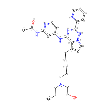 CCCN(CCO)CCC#CCc1ccn2nc(-c3ccccn3)nc(Nc3ccnc(NC(C)=O)c3)c12